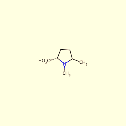 CC1CC[C@@H](C(=O)O)N1C